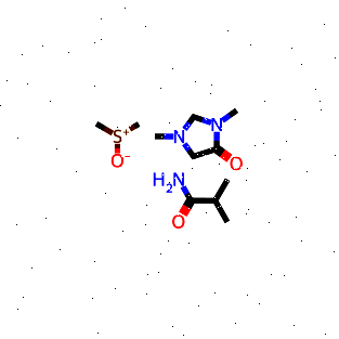 CC(C)C(N)=O.CN1CC(=O)N(C)C1.C[S+](C)[O-]